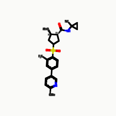 COc1ccc(-c2ccc(S(=O)(=O)C3C[C@@H](OC)[C@H](C(=O)NC4(C#N)CC4)C3)c(C(F)(F)F)c2)cn1